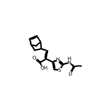 CC(=O)Nc1nc(C(=CC2CC3C=CC2C3)C(=O)O)cs1